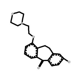 O=C1c2ccc(Cl)cc2CCc2c(OCCN3CCOCC3)cccc21